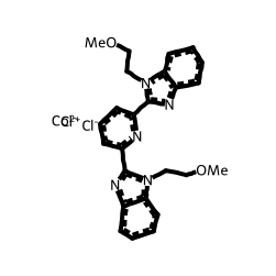 COCCn1c(-c2cccc(-c3nc4ccccc4n3CCOC)n2)nc2ccccc21.[Cl-].[Cl-].[Co+2]